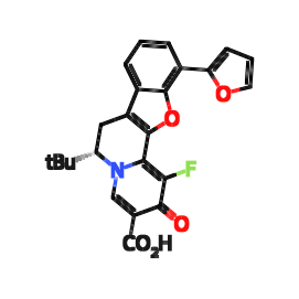 CC(C)(C)[C@@H]1Cc2c(oc3c(-c4ccco4)cccc23)-c2c(F)c(=O)c(C(=O)O)cn21